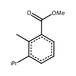 COC(=O)c1cccc(C(C)C)c1C